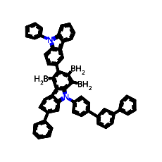 Bc1c(-c2ccc3c(c2)c2ccccc2n3-c2ccccc2)c(B)c2c3ccc(-c4ccccc4)cc3n(-c3ccc(-c4cccc(-c5ccccc5)c4)cc3)c2c1B